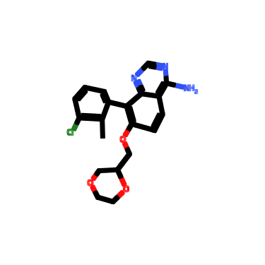 Cc1c(Cl)cccc1-c1c(OCC2COCCO2)ccc2c(N)ncnc12